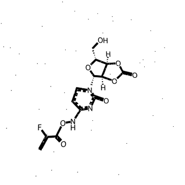 C=C(F)C(=O)ONc1ccn([C@@H]2O[C@H](CO)[C@H]3OC(=O)O[C@H]32)c(=O)n1